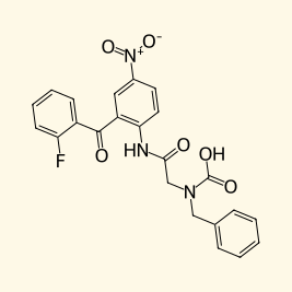 O=C(CN(Cc1ccccc1)C(=O)O)Nc1ccc([N+](=O)[O-])cc1C(=O)c1ccccc1F